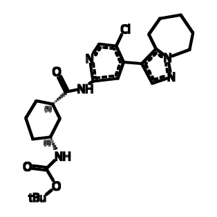 CC(C)(C)OC(=O)N[C@@H]1CCC[C@H](C(=O)Nc2cc(-c3cnn4c3CCCCC4)c(Cl)cn2)C1